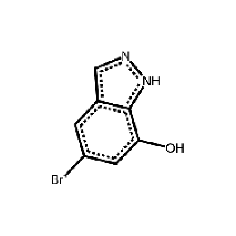 Oc1cc(Br)cc2cn[nH]c12